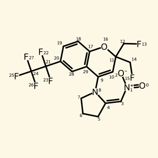 O=[N+]([O-])/C=C1/CCCN1C1=CC(CF)(CF)Oc2ccc(C(F)(F)C(F)(F)F)cc21